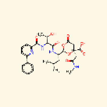 CNC(=O)C[C@@]1(C(=O)O)CC(=O)OB(C(CC(C)C)NC(=O)C(NC(=O)c2cccc(-c3ccccc3)n2)C(C)O)O1